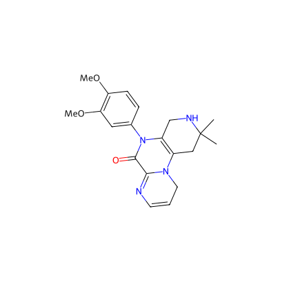 COc1ccc(N2C(=O)C3=NC=CCN3C3=C2CNC(C)(C)C3)cc1OC